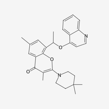 Cc1cc(C(C)Oc2ccnc3ccccc23)c2oc(N3CCC(C)(C)CC3)c(C)c(=O)c2c1